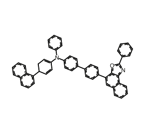 C1=CC(c2cccc3ccccc23)CC=C1N(c1ccccc1)c1ccc(-c2ccc(-c3cc4ccccc4c4nc(-c5ccccc5)oc34)cc2)cc1